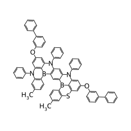 Cc1ccc2c(c1)Sc1cc(Oc3cccc(-c4ccccc4)c3)cc3c1B2c1cc2c(cc1N3c1ccccc1)N(c1ccccc1)c1cc(Oc3cccc(-c4ccccc4)c3)cc3c1B2c1ccc(C)cc1N3c1ccccc1